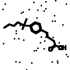 CCCCC(C)(C)c1ccc(C=CCC(=O)O)cc1